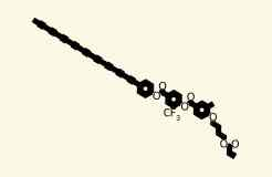 C=CC(=O)OCCCCOc1ccc(C(=O)Oc2ccc(C(=O)Oc3ccc(C#CC#CC#CC#CC#CC#CC#CC#CC#CC)cc3)cc2C(F)(F)F)cc1C